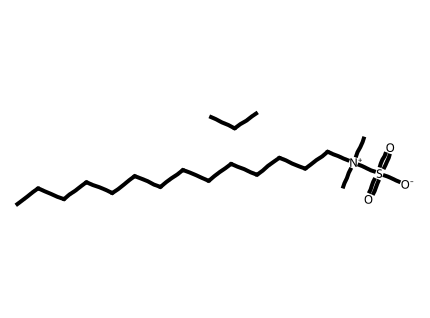 CCC.CCCCCCCCCCCCCC[N+](C)(C)S(=O)(=O)[O-]